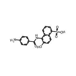 Nc1ccc(C(=O)Nc2c(O)ccc3c(S(=O)(=O)O)cccc23)cc1